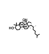 CC(C)CCC[C@@H](C)[C@H]1CC[C@H]2[C@@H]3[C@@H](O)C=C4C(C)(C)[C@@H](O)CC[C@]4(C)[C@H]3CC[C@]12C